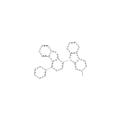 Brc1ccc2c3ccccc3n(-c3ccc(-c4ccccc4)c4c3oc3ccccc34)c2c1